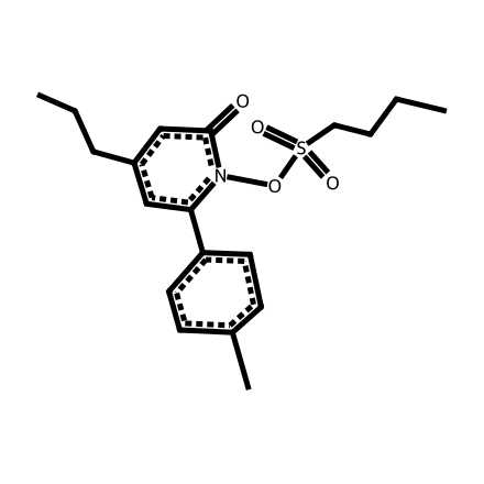 CCCCS(=O)(=O)On1c(-c2ccc(C)cc2)cc(CCC)cc1=O